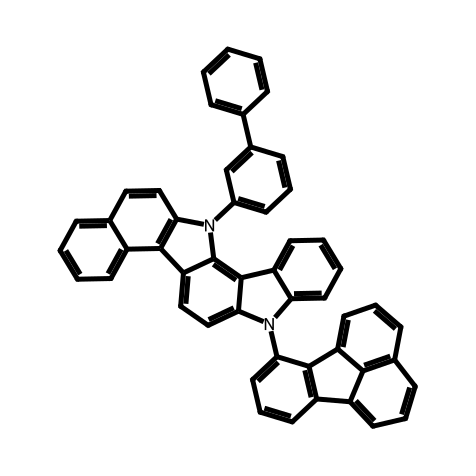 c1ccc(-c2cccc(-n3c4ccc5ccccc5c4c4ccc5c(c6ccccc6n5-c5cccc6c5-c5cccc7cccc-6c57)c43)c2)cc1